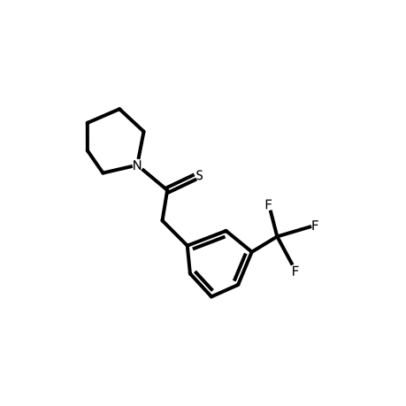 FC(F)(F)c1cccc(CC(=S)N2CCCCC2)c1